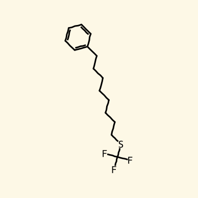 FC(F)(F)SCCCCCCCCc1ccccc1